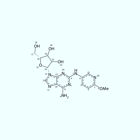 COc1ccc(Nc2nc(N)c3ncn([C@@H]4O[C@H](CO)C(O)C4O)c3n2)cn1